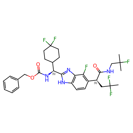 CC(C)(F)CNC(=O)[C@@H](CC(C)(F)F)c1ccc2[nH]c([C@@H](NC(=O)OCc3ccccc3)C3CCC(F)(F)CC3)nc2c1F